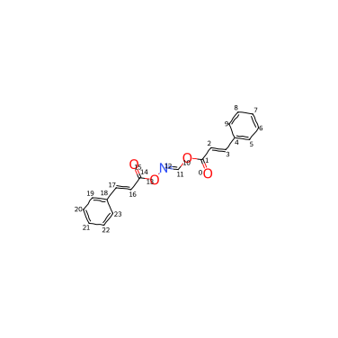 O=C(C=Cc1ccccc1)OC=NOC(=O)C=Cc1ccccc1